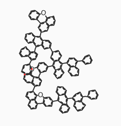 c1ccc(-c2ccc(-c3c4ccccc4c(-c4ccc5c(c4)Oc4c(-c6ccc7c8c(cccc68)Oc6ccc(-c8c9ccccc9c(-c9ccc(-c%10ccccc%10)c%10ccccc9%10)c9ccc(-c%10ccc%11c(-c%12cc%13c%14c(cccc%14c%12)Oc%12ccccc%12-%13)c%12ccccc%12c(-c%12ccc(-c%13ccccc%13)c%13ccccc%12%13)c%11c%10)cc89)cc6-7)ccc6cccc-5c46)c4ccccc34)c3ccccc23)cc1